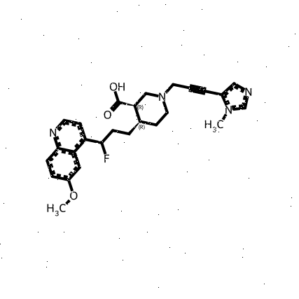 COc1ccc2nccc(C(F)CC[C@@H]3CCN(CC#Cc4cncn4C)C[C@@H]3C(=O)O)c2c1